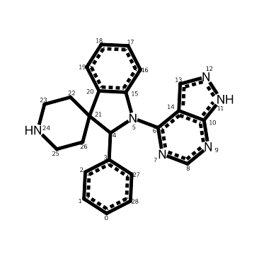 c1ccc(C2N(c3ncnc4[nH]ncc34)c3ccccc3C23CCNCC3)cc1